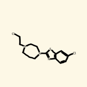 ClCCN1CCCN(c2nc3ccc(Cl)cc3s2)CC1